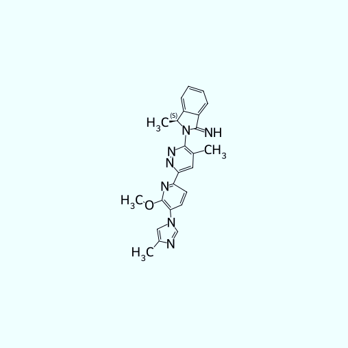 COc1nc(-c2cc(C)c(N3C(=N)c4ccccc4[C@@H]3C)nn2)ccc1-n1cnc(C)c1